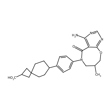 CC1COc2ncnc(N)c2C(=O)N(c2ccc(C3CCC4(CC3)CC(C(=O)O)C4)cc2)C1